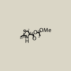 COC(C)OC(=O)C1CSC(C)N1